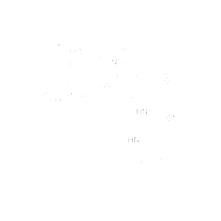 CN[C@@H](CC(C)C)C(=O)NC(C)(C=O)CCC(=O)N(C)Cc1ccc(OC)cc1OC